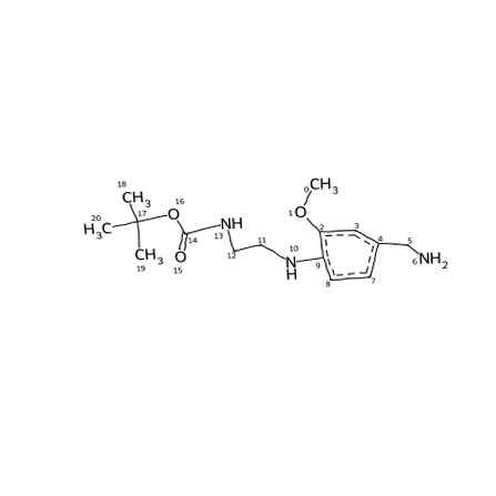 COc1cc(CN)ccc1NCCNC(=O)OC(C)(C)C